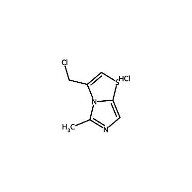 Cc1ncc2scc(CCl)n12.Cl